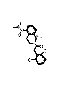 C[C@H]1c2cccc([S+]([O-])N(C)C)c2CCN1C(=O)Cc1c(Cl)cccc1Cl